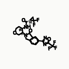 O=C(N[C@@H]1CCOC[C@H]1N1Cc2ccc(-c3noc(C(F)(F)F)n3)cc2C1=O)[C@@H]1CC1(F)F